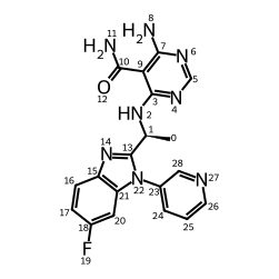 C[C@H](Nc1ncnc(N)c1C(N)=O)c1nc2ccc(F)cc2n1-c1cccnc1